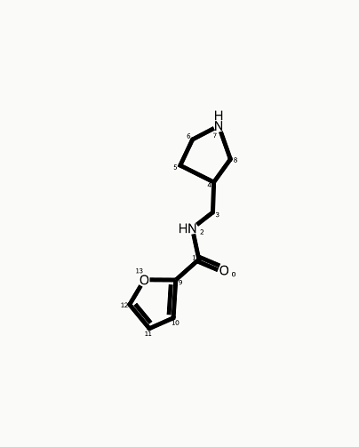 O=C(NCC1CCNC1)c1ccco1